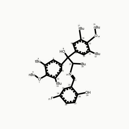 CCCCOc1c(C(C)(C)C)cc(C(O)(c2cc(C(C)(C)C)c(OCCCC)c(C(C)(C)C)c2)C(N=Cc2cc(F)ccc2O)C(C)CC)cc1C(C)(C)C